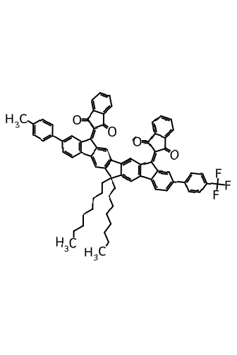 CCCCCCCCC1(CCCCCCCC)c2cc3c(cc2-c2cc4c(cc21)-c1ccc(-c2ccc(C(F)(F)F)cc2)cc1C4=C1C(=O)c2ccccc2C1=O)C(=C1C(=O)c2ccccc2C1=O)c1cc(-c2ccc(C)cc2)ccc1-3